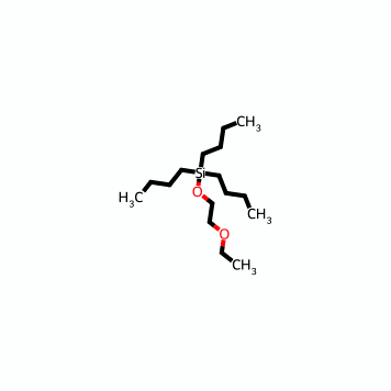 CCCC[Si](CCCC)(CCCC)OCCOCC